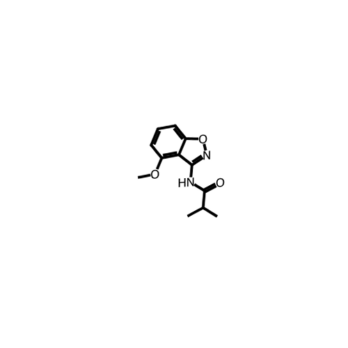 COc1cccc2onc(NC(=O)C(C)C)c12